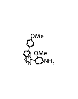 COc1ccc(-c2ccc3nnc(-c4ccc(N)cc4OC)n3c2)cc1